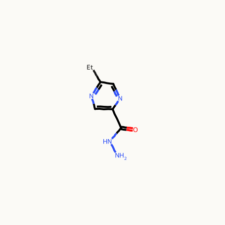 CCc1cnc(C(=O)NN)cn1